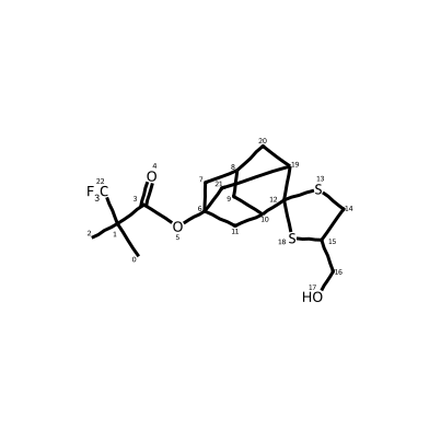 CC(C)(C(=O)OC12CC3CC(C1)C1(SCC(CO)S1)C(C3)C2)C(F)(F)F